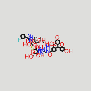 C[C@@H](O)C(CO)OC(S[C@@H]1O[C@H](CO)C(O)C(n2nnc(CNC(=O)c3ccc(C4c5ccc(O)cc5OC5=CC(=O)C=CC54)c(C(=O)O)c3)n2)C1O)[C@@H](O)Cn1cc(-c2cccc(F)c2)nn1